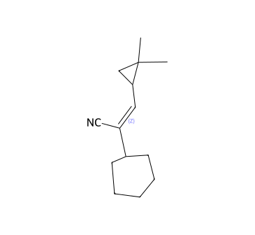 CC1(C)CC1/C=C(\C#N)C1CCCCC1